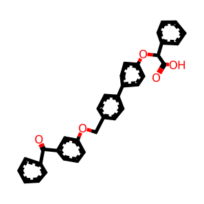 O=C(c1ccccc1)c1cccc(OCc2ccc(-c3ccc(OC(C(=O)O)c4ccccc4)cc3)cc2)c1